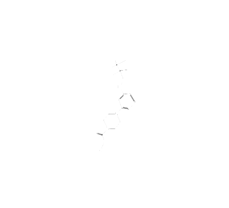 CC(C)(C)OC(=O)N1CCN(c2cccc(BOC(C)(C)C(C)(C)O)c2)CC1